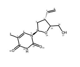 C=C[C@H]1C[C@H](n2cc(C)c(=O)[nH]c2=O)OC1CO